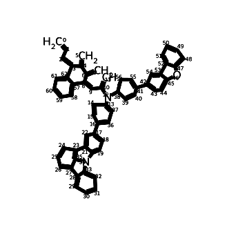 C=C/C=c1\c(=C)c(=C)/c(=C\C(=C)N(c2ccc(-c3ccc4c(c3)c3cccc5c6ccccc6n4c53)cc2)C2C=CC(c3ccc4oc5ccccc5c4c3)=CC2)c2ccccc12